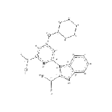 C[S+]([O-])c1nc(OC2CCCCC2)cc(-n2c(C(F)F)nc3ccccc32)n1